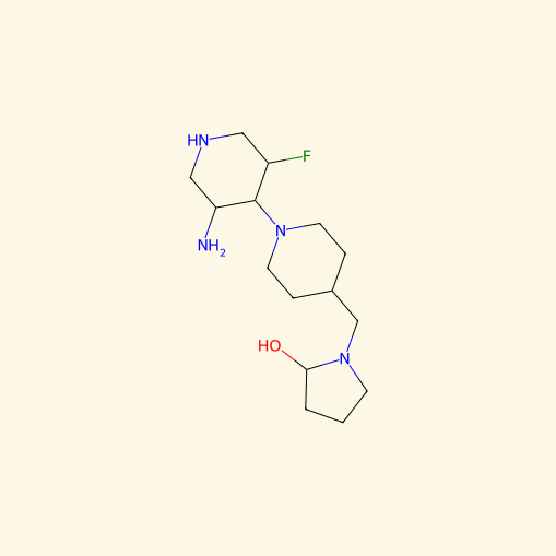 NC1CNCC(F)C1N1CCC(CN2CCCC2O)CC1